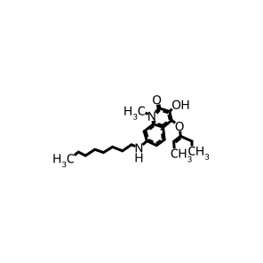 CC=C(CC)Oc1c(O)c(=O)n(C)c2cc(NCCCCCCCC)ccc12